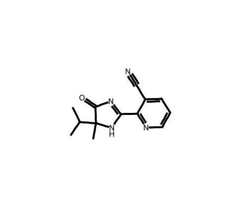 CC(C)C1(C)NC(c2ncccc2C#N)=NC1=O